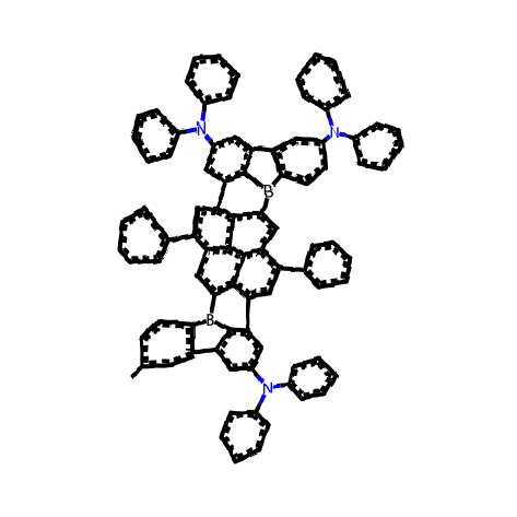 Cc1ccc2c(c1)-c1cc(N(c3ccccc3)c3ccccc3)cc3c1B2c1cc2c(-c4ccccc4)cc4c5c(cc6c(-c7ccccc7)cc-3c1c6c25)B1c2ccc(N(c3ccccc3)c3ccccc3)cc2-c2cc(N(c3ccccc3)c3ccccc3)cc-4c21